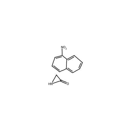 O=C1CN1.O=[N+]([O-])c1cccc2ccccc12